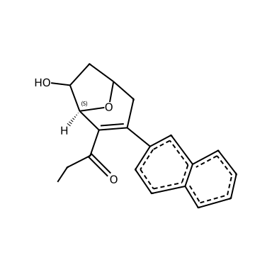 CCC(=O)C1=C(c2ccc3ccccc3c2)CC2CC(O)[C@H]1O2